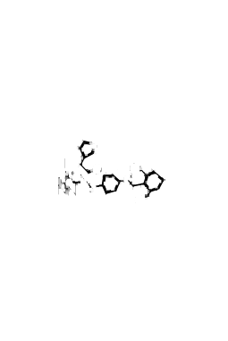 O=C(Cc1ccsc1)N(Sc1ccc(OCc2c(Cl)cccc2Cl)cc1)c1nnn[nH]1